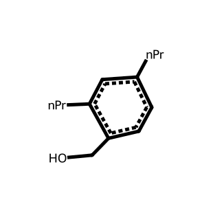 CCCc1ccc(CO)c(CCC)c1